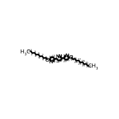 CCCCCCCCCCOc1ccc(-c2ccc(-c3ccc(OCCCCCCCCCC)nc3)nn2)cn1